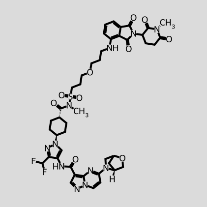 CN1C(=O)CCC(N2C(=O)c3cccc(NCCCOCCCS(=O)(=O)N(C)C(=O)[C@H]4CC[C@H](n5cc(NC(=O)c6cnn7ccc(N8CC9C[C@@H]8CO9)nc67)c(C(F)F)n5)CC4)c3C2=O)C1=O